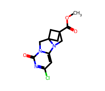 COC(=O)C12CN3c4cc(Cl)nc(=O)n4CC3(C1)C2